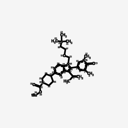 C=C(C)c1c(-c2cc(C)c(=O)n(C)c2)n(COCCS(C)(C)C)c2cnc(C3CCN(C(=O)OC(C)(C)C)CC3)nc12